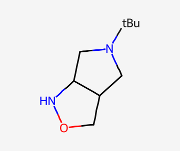 CC(C)(C)N1CC2CONC2C1